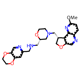 COc1ccc2ncc3c(c2n1)[C@@H](CN1CCO[C@@H](CNCc2cc4c(cn2)OCCO4)C1)CO3